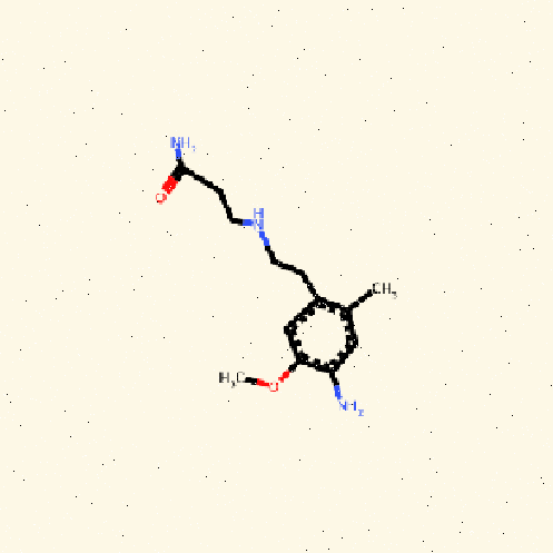 COc1cc(CCNCCC(N)=O)c(C)cc1N